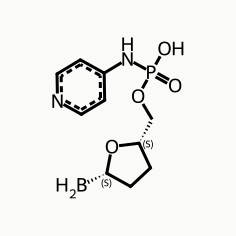 B[C@H]1CC[C@@H](COP(=O)(O)Nc2ccncc2)O1